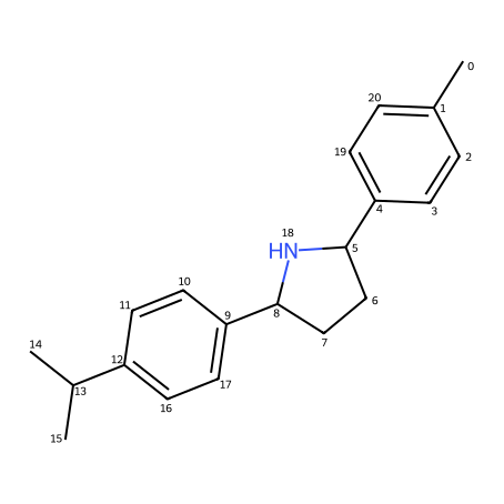 Cc1ccc(C2CCC(c3ccc(C(C)C)cc3)N2)cc1